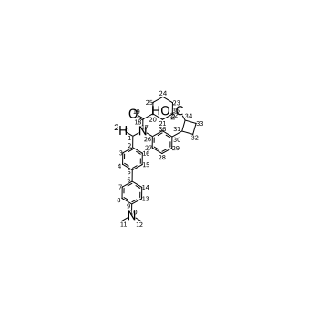 [2H]C(c1ccc(-c2ccc(N(C)C)cc2)cc1)N(C(=O)C1CCCCC1)c1cccc(C2CCC2C(=O)O)c1